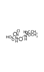 CC(C)(C)OC(=O)NCc1cccc(Nc2nc(Cl)ccc2C(=O)O)c1